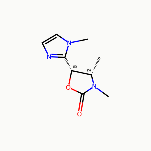 C[C@H]1[C@@H](c2nccn2C)OC(=O)N1C